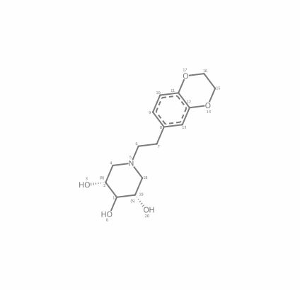 OC1[C@H](O)CN(CCc2ccc3c(c2)OCCO3)C[C@@H]1O